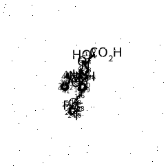 O=C(O)C[C@@H](O)CC(=O)N1C[C@H]2CC(c3ccc(CCCOc4c(F)ccc(F)c4F)cc3)=C(C(=O)NC3(Cc4ccccc4)CC3)[C@@H](C1)N2